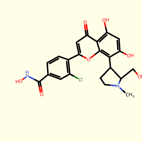 CN1CCC(c2c(O)cc(O)c3c(=O)cc(-c4ccc(C(=O)NO)cc4Cl)oc23)C1CO